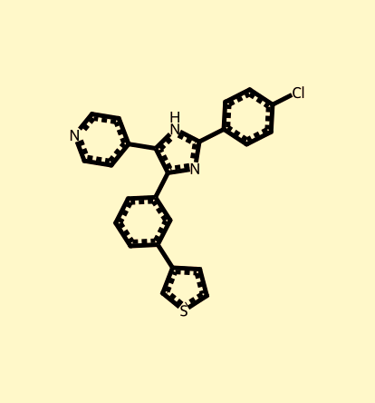 Clc1ccc(-c2nc(-c3cccc(-c4ccsc4)c3)c(-c3ccncc3)[nH]2)cc1